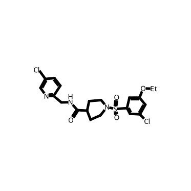 CCOc1cc(Cl)cc(S(=O)(=O)N2CCC(C(=O)NCc3ccc(Cl)cn3)CC2)c1